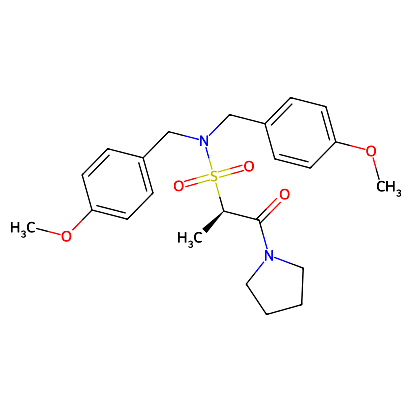 COc1ccc(CN(Cc2ccc(OC)cc2)S(=O)(=O)[C@H](C)C(=O)N2CCCC2)cc1